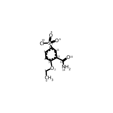 CCOc1ccc(S(=O)(=O)Cl)cc1C(N)=O